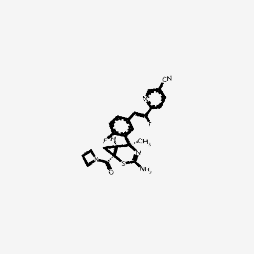 C[C@]1(c2cc(C=C(F)c3ccc(C#N)cn3)ccc2F)N=C(N)S[C@@]2(C(=O)N3CCC3)C[C@H]21